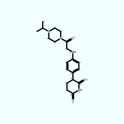 CC(C)N1CCN(C(=O)CNc2ccc(C3CCC(=O)NC3=O)cc2)CC1